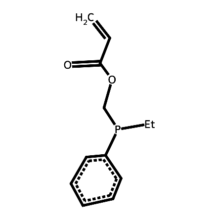 C=CC(=O)OCP(CC)c1ccccc1